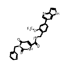 O=C(NCc1ccc(-c2cnc3cc[nH]c3c2)cc1OC(F)(F)F)c1cc(=O)n(Cc2ccccc2)c(=O)[nH]1